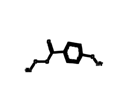 CCCOc1ccc(C(=O)OO[C](C)CC)cc1